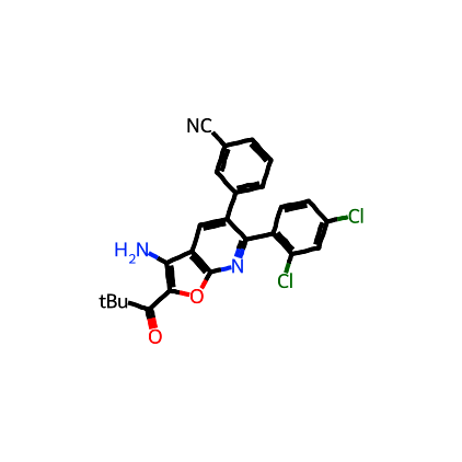 CC(C)(C)C(=O)c1oc2nc(-c3ccc(Cl)cc3Cl)c(-c3cccc(C#N)c3)cc2c1N